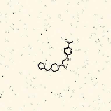 CC(=O)c1ccc(NCC(=O)N2CCN(CC3CCCO3)CC2)cc1